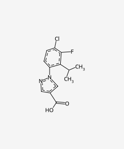 CC(C)c1c(-n2cc(C(=O)O)cn2)ccc(Cl)c1F